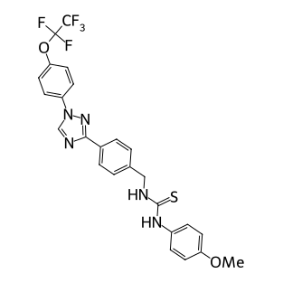 COc1ccc(NC(=S)NCc2ccc(-c3ncn(-c4ccc(OC(F)(F)C(F)(F)F)cc4)n3)cc2)cc1